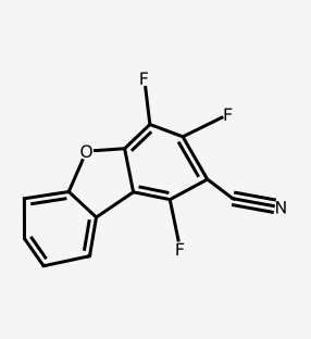 N#Cc1c(F)c(F)c2oc3ccccc3c2c1F